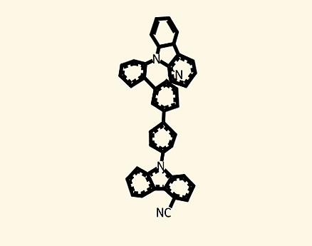 N#Cc1ccc(-c2ccc(-n3c4ccccc4c4c(C#N)cccc43)cc2)cc1-c1ccccc1N1c2ccccc2C2C=CC=CC21